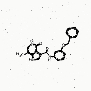 Cc1c[nH]c(=O)c2c(C(=O)Nc3cccc(OCc4ccccc4)c3)c[nH]c12